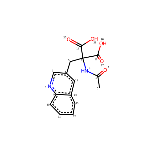 CC(=O)NC(Cc1cnc2ccccc2c1)(C(=O)O)C(=O)O